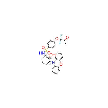 CC(=O)C(F)(F)Oc1ccc(S(=O)(=O)N[C@@H]2CCC[C@H](N3c4ccccc4Oc4ccccc43)[C@H]2O)cc1